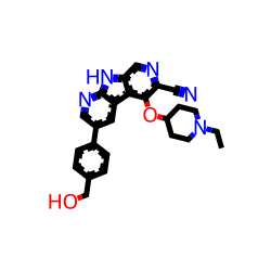 CCN1CCC(Oc2c(C#N)ncc3[nH]c4ncc(-c5ccc(CO)cc5)cc4c23)CC1